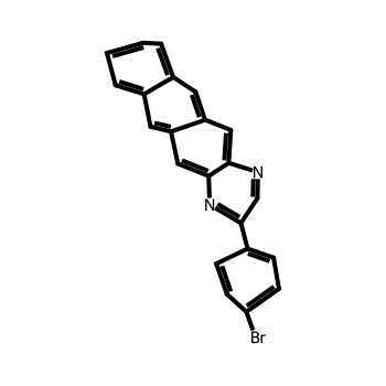 Brc1ccc(-c2cnc3cc4cc5ccccc5cc4cc3n2)cc1